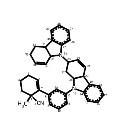 C[C@]1(C#N)CCCC=C1c1cccc(N2c3ccccc3C3C=CC(N4c5ccccc5C5CCC=CC54)CC32)c1